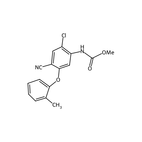 COC(=O)Nc1cc(Oc2ccccc2C)c(C#N)cc1Cl